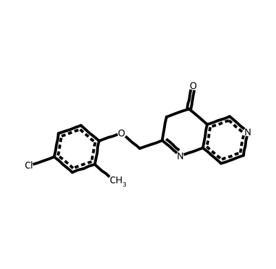 Cc1cc(Cl)ccc1OCC1=Nc2ccncc2C(=O)C1